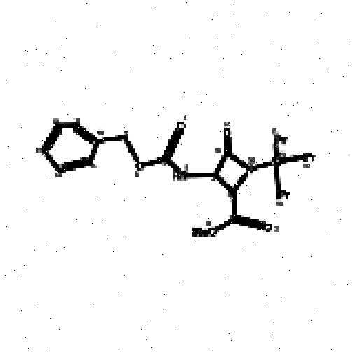 COC(=O)C1C(NC(=O)OCc2ccccc2)C(=O)N1[Si](C(C)C)(C(C)C)C(C)C